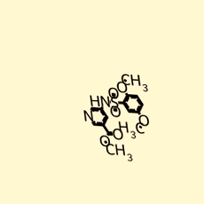 COC(=O)c1cncc(NS(=O)(=O)c2cc(OC)ccc2OC)c1